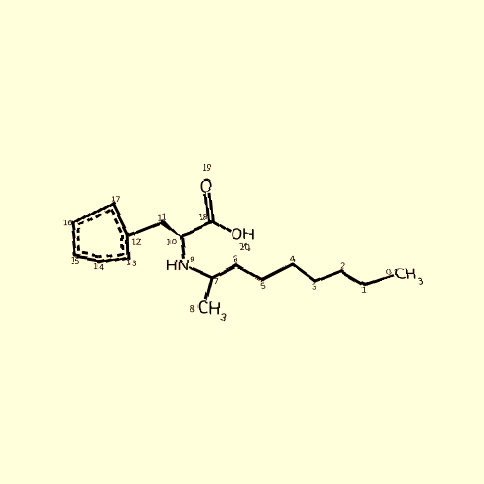 CCCCCCCC(C)N[C@@H](Cc1ccccc1)C(=O)O